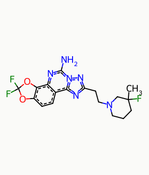 CC1(F)CCCN(CCc2nc3c4ccc5c(c4nc(N)n3n2)OC(F)(F)O5)C1